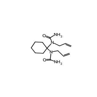 C=CCN(C(N)=O)C1(N(CC=C)C(N)=O)CCCCC1